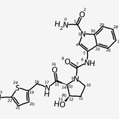 NC(=O)n1cc(NC(=O)N2CC[C@@H](O)[C@H]2C(=O)NCc2ccc(Cl)s2)c2ccccc21